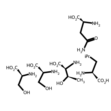 CC(C)C[C@H](N)C(=O)O.C[C@@H](O)[C@H](N)C(=O)O.NC(=O)C[C@H](N)C(=O)O.N[C@@H](CO)C(=O)O.N[C@@H](CO)C(=O)O